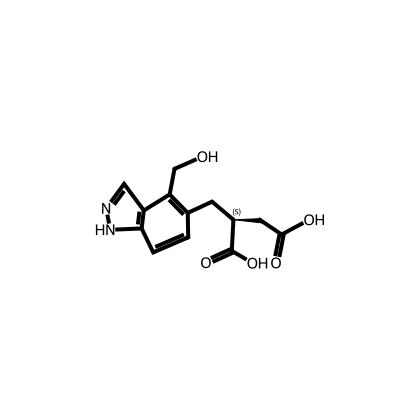 O=C(O)C[C@H](Cc1ccc2[nH]ncc2c1CO)C(=O)O